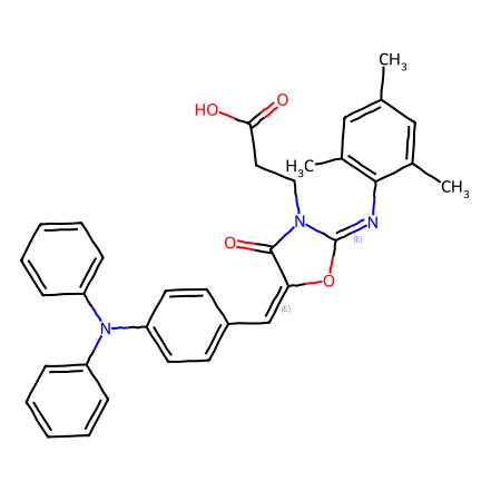 Cc1cc(C)c(/N=C2/O/C(=C/c3ccc(N(c4ccccc4)c4ccccc4)cc3)C(=O)N2CCC(=O)O)c(C)c1